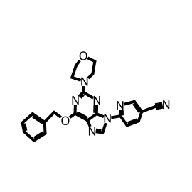 N#Cc1ccc(-n2cnc3c(OCc4ccccc4)nc(N4CCOCC4)nc32)nc1